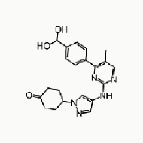 Cc1cnc(Nc2cnn(C3CCC(=O)CC3)c2)nc1-c1ccc(C(O)O)cc1